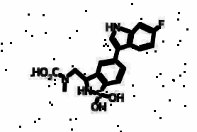 CN(CC1NS(O)(O)c2ccc(-c3c[nH]c4cc(F)ccc34)cc21)C(=O)O